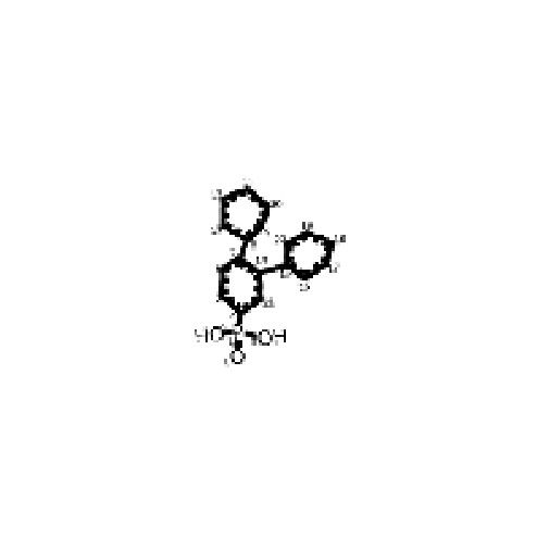 O=P(O)(O)c1ccc(-c2ccccc2)c(-c2ccccc2)c1